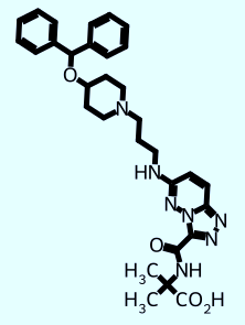 CC(C)(NC(=O)c1nnc2ccc(NCCCN3CCC(OC(c4ccccc4)c4ccccc4)CC3)nn12)C(=O)O